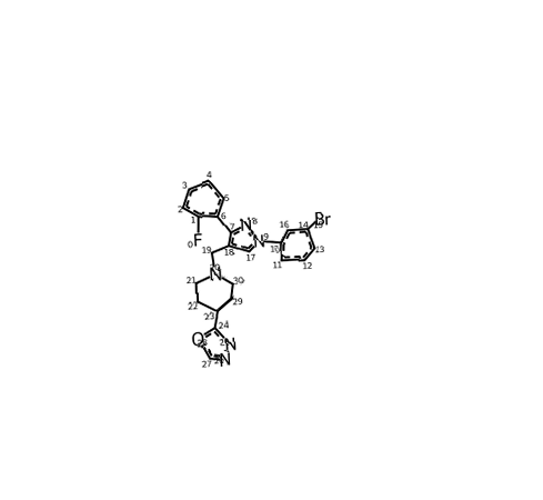 Fc1ccccc1-c1nn(-c2cccc(Br)c2)cc1CN1CCC(c2nnco2)CC1